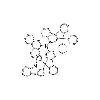 c1ccc(C2(c3ccccc3)c3ccccc3-c3c2cc(N(c2ccc4c(c2)C2(c5ccccc5-4)c4ccccc4-n4c5ccccc5c5cccc2c54)c2cc4ccccc4c4ccccc24)c2ccccc32)cc1